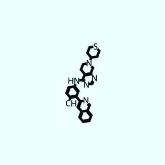 Cc1ccc(Nc2ncnc3c2CCN(C2CCSCC2)C3)cc1-c1cc2ccccc2cn1